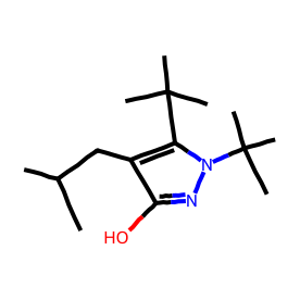 CC(C)Cc1c(O)nn(C(C)(C)C)c1C(C)(C)C